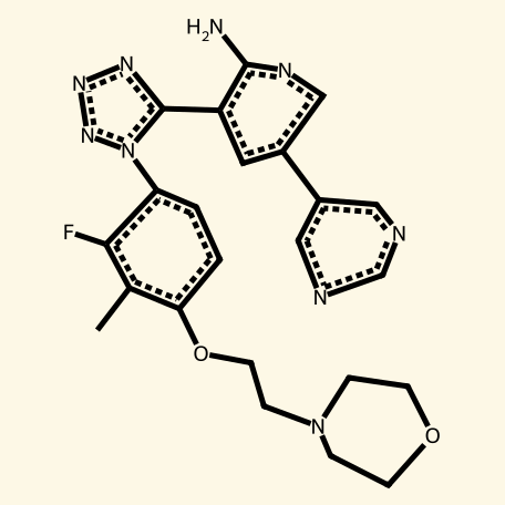 Cc1c(OCCN2CCOCC2)ccc(-n2nnnc2-c2cc(-c3cncnc3)cnc2N)c1F